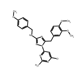 COc1ccc(CNc2nc(Cc3ccc(OC)c(OC)c3)n(-c3cc(Cl)nc(C)n3)n2)cc1